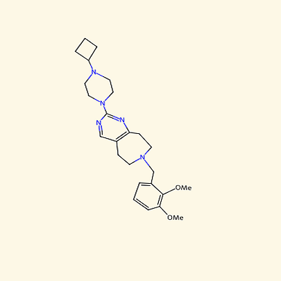 COc1cccc(CN2CCc3cnc(N4CCN(C5CCC5)CC4)nc3CC2)c1OC